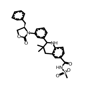 CC1(C)Cc2cc(C(=O)NS(C)(=O)=O)ccc2NC1c1cccc(N2C(=O)OC[C@H]2Cc2ccccc2)c1